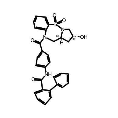 O=C(Nc1ccc(C(=O)N2C[C@@H]3C[C@@H](O)CN3S(=O)(=O)c3ccccc32)cc1)c1ccccc1-c1ccccc1